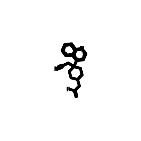 C=C(F)CC1CCC(CC#N)(c2ccnc3ccccc23)CC1